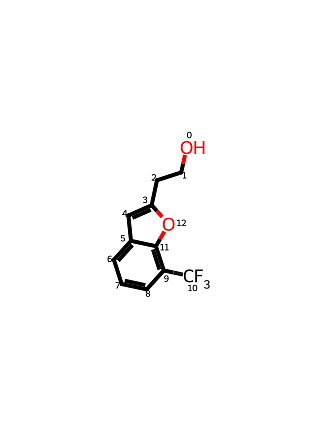 OCCc1cc2cccc(C(F)(F)F)c2o1